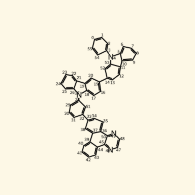 c1ccc(-n2c3ccccc3c3ccc(-c4ccc5c(c4)c4ccccc4n5-c4cccc(-c5ccc6c(c5)c5ccccc5c5nccnc65)c4)cc32)cc1